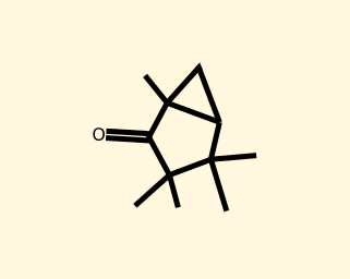 CC12CC1C(C)(C)C(C)(C)C2=O